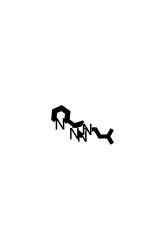 CC(C)CCn1cc(-c2ccccn2)nn1